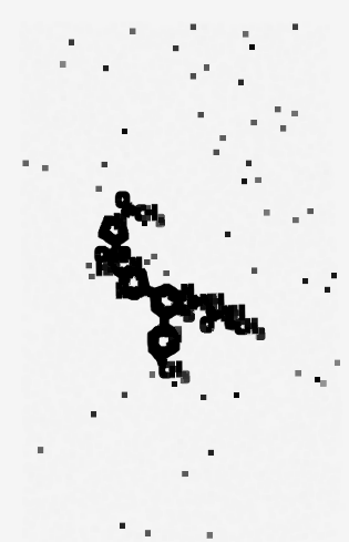 CCNC(=O)Nc1nc2cc(-c3cnc(NS(=O)(=O)C4CCN(C(C)=O)C4)nc3)cc(-c3ccc(C)cn3)c2s1